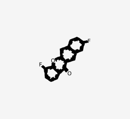 O=c1c2cc3cc(F)ccc3cc2oc2c(F)cccc12